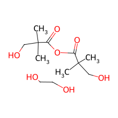 CC(C)(CO)C(=O)OC(=O)C(C)(C)CO.OCCO